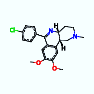 COc1cc2c(cc1OC)[C@H]1CN(C)CC[C@H]1N=C2c1ccc(Cl)cc1